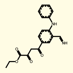 CCOC(=O)C(=O)CC(=O)c1ccc(Nc2ccccc2)c(C=N)c1